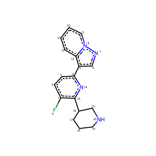 Fc1ccc(-c2cnn3ccccc23)nc1C1CCCNC1